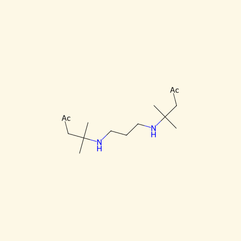 CC(=O)CC(C)(C)NCCCNC(C)(C)CC(C)=O